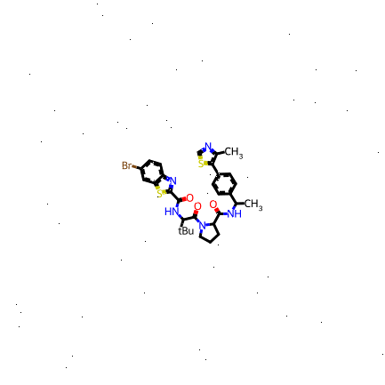 Cc1ncsc1-c1ccc(C(C)NC(=O)C2CCCN2C(=O)C(NC(=O)c2nc3ccc(Br)cc3s2)C(C)(C)C)cc1